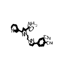 N#Cc1ccc(-c2ccn(CCn3nc(-c4cccnc4)cc3C(N)=O)n2)cc1C#N